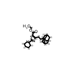 CCOC(=O)c1sc(C2CCCCC2)nc1CCC12CC3CC(CC(C3)C1)C2